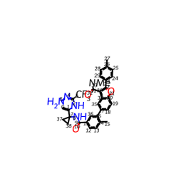 C=C(N/C(=N\N)C(F)(F)F)C1(NC(=O)c2ccc(C)c(-c3ccc4oc(-c5ccc(C)cc5)c(C(=O)NC)c4c3)c2)CC1